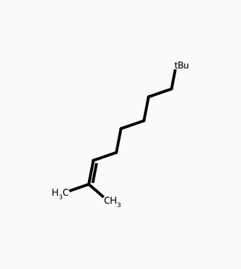 CC(C)=CCCCCCC(C)(C)C